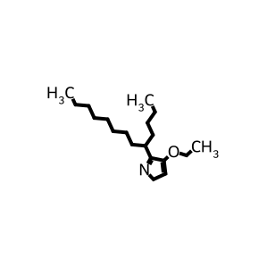 CCCCCCCCC(CCCC)C1=NCC=C1OCC